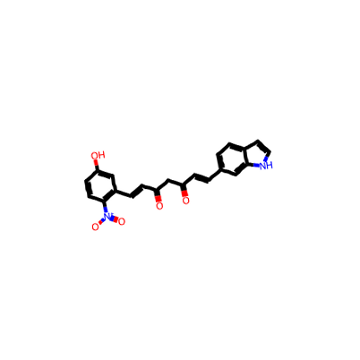 O=C(/C=C/c1ccc2cc[nH]c2c1)CC(=O)/C=C/c1cc(O)ccc1[N+](=O)[O-]